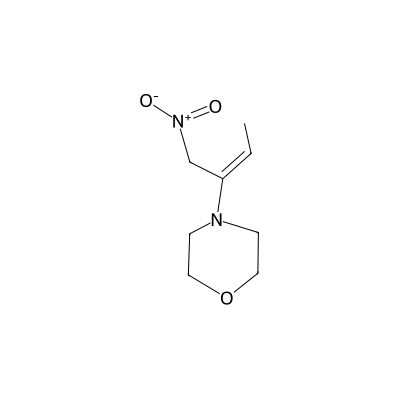 C/C=C(\C[N+](=O)[O-])N1CCOCC1